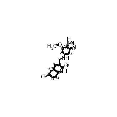 COc1cc(NCc2cc3cc(Cl)ccc3[nH]c2=O)cc2nn[nH]c12